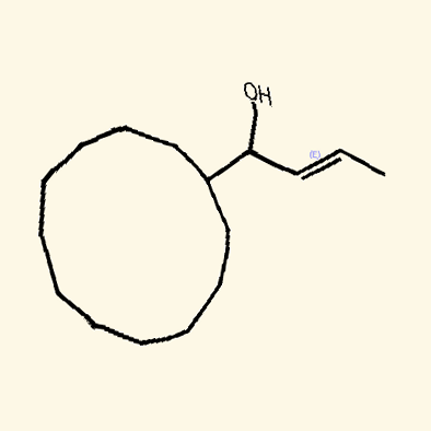 C/C=C/C(O)C1CCCCCCCCCCC1